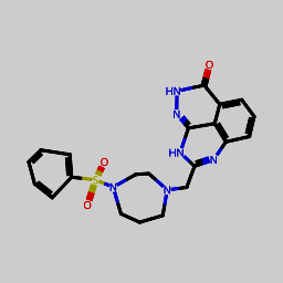 O=c1[nH]nc2c3c(cccc13)N=C(CN1CCCN(S(=O)(=O)c3ccccc3)CC1)N2